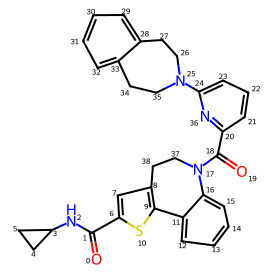 O=C(NC1CC1)c1cc2c(s1)-c1ccccc1N(C(=O)c1cccc(N3CCc4ccccc4CC3)n1)CC2